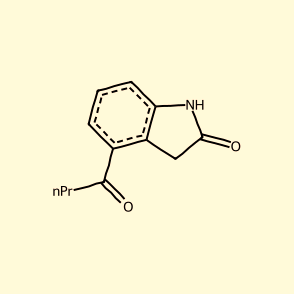 CCCC(=O)c1cccc2c1CC(=O)N2